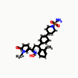 Cc1ccccc1C(C/C(=N/O)c1ccc(=O)n(C)c1)c1ccc(C2CCN(S(N)(=O)=O)CC2)cc1